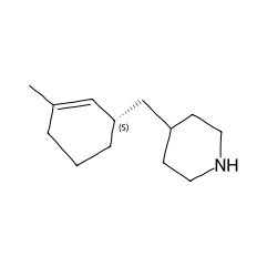 CC1=C[C@H](CC2CCNCC2)CCC1